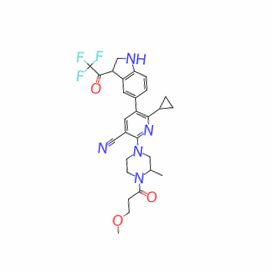 COCCC(=O)N1CCN(c2nc(C3CC3)c(-c3ccc4c(c3)C(C(=O)C(F)(F)F)CN4)cc2C#N)CC1C